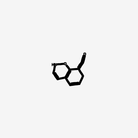 O=C=C1CC=CC2=C1ONC=C2